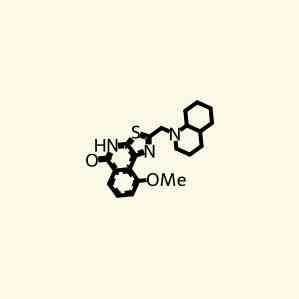 COc1cccc2c(=O)[nH]c3sc(CN4CCCC5CCCCC54)nc3c12